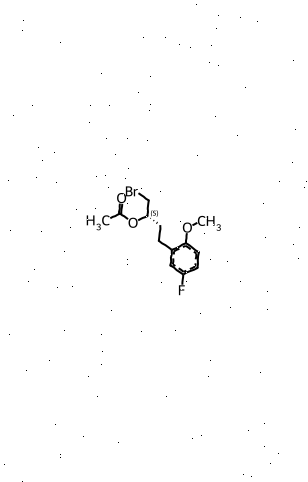 COc1ccc(F)cc1CC[C@@H](CBr)OC(C)=O